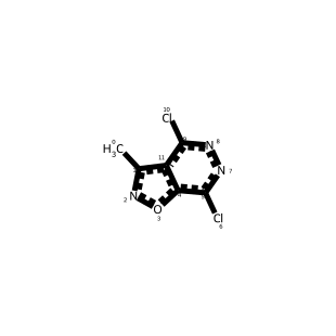 Cc1noc2c(Cl)nnc(Cl)c12